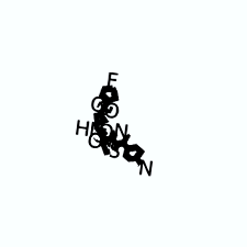 N#Cc1ccc(-c2cncc3c2SCCN3S(=O)(=O)NC2CC(S(=O)(=O)c3ccc(F)cc3)C2)cc1